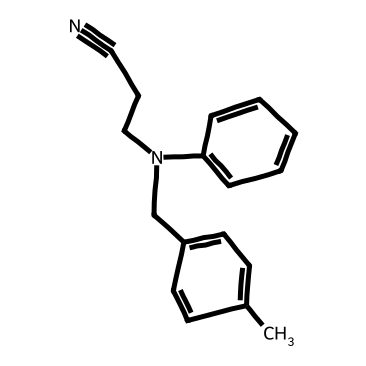 Cc1ccc(CN(CCC#N)c2ccccc2)cc1